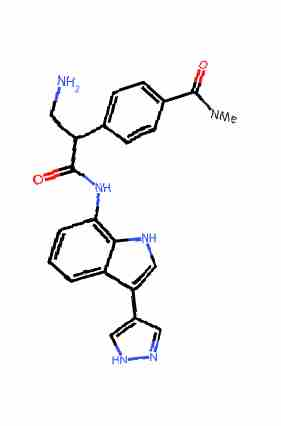 CNC(=O)c1ccc(C(CN)C(=O)Nc2cccc3c(-c4cn[nH]c4)c[nH]c23)cc1